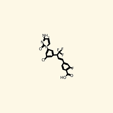 Nc1ccn(-c2cc(Cl)cc(C(/C=C/c3ccc(C(=O)O)c(F)c3)C(F)(F)F)c2)c(=O)n1